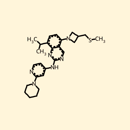 CSCC1CN(c2ccc(C(C)C)c3nc(Nc4ccnc(N5CCCCC5)c4)ncc23)C1